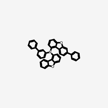 c1ccc(-c2cccc(N(c3cccc4oc5ccccc5c34)c3cccc4oc5cc(-c6ccccc6)ccc5c34)c2)cc1